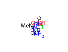 CNc1nc(NC2CCCC[C@H]2N)n(Cc2ccccc2Cl)c1C(=O)NCC(O)c1ccccc1